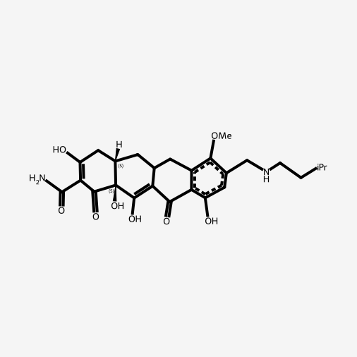 COc1c(CNCCC(C)C)cc(O)c2c1CC1C[C@H]3CC(O)=C(C(N)=O)C(=O)[C@@]3(O)C(O)=C1C2=O